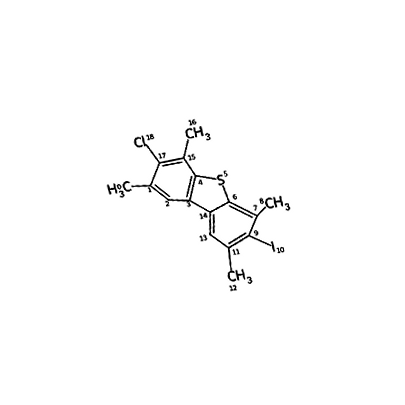 Cc1cc2c(sc3c(C)c(I)c(C)cc32)c(C)c1Cl